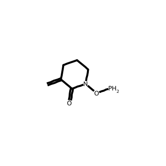 C=C1CCCN(OP)C1=O